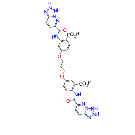 O=C(Nc1cc(OCCCOc2ccc(NC(=O)C3=NN4NNN=C4C=C3)c(C(=O)O)c2)ccc1C(=O)O)C1=NN2NNN=C2C=C1